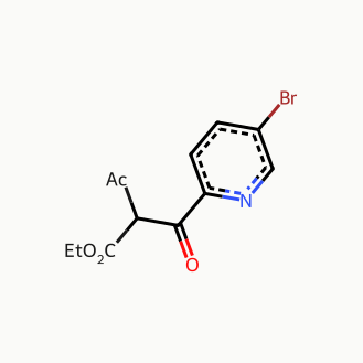 CCOC(=O)C(C(C)=O)C(=O)c1ccc(Br)cn1